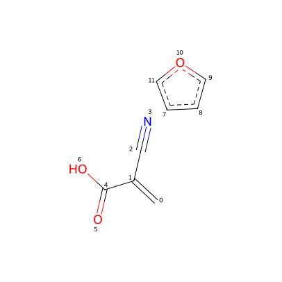 C=C(C#N)C(=O)O.c1ccoc1